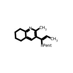 CC=C(CCCCC)c1cc2c(nc1C)CCCC2